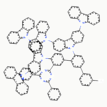 N#Cc1cccc(-c2ccc(-n3c4ccc(-n5c6ccccc6c6ccccc65)cc4c4cc(-n5c6ccccc6c6ccccc65)ccc43)c(-c3ccc(-n4c5ccc(-n6c7ccccc7c7ccccc76)cc5c5cc(-n6c7ccccc7c7ccccc76)ccc54)c(-c4nc(-c5ccccc5)nc(-c5ccccc5)n4)c3)c2)c1